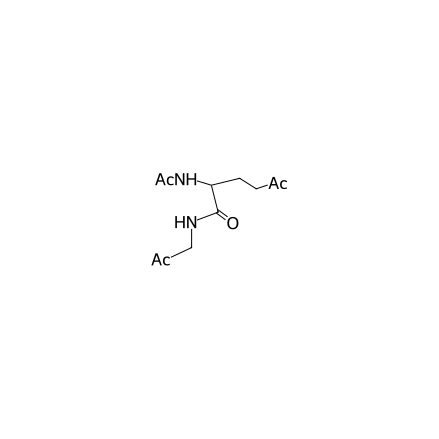 CC(=O)CCC(NC(C)=O)C(=O)NCC(C)=O